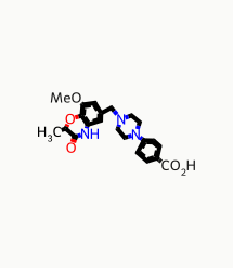 COc1cc(CN2CCN(c3ccc(C(=O)O)cc3)CC2)cc2c1OC(C)C(=O)N2